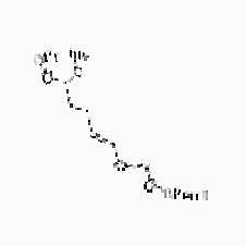 CCCCCOCOC=CCCC(OCCC)OCCC